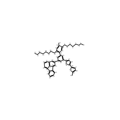 CCCCCCCCc1cc(-c2cc(-c3cc4c5c(cccc5c3)-c3ccccc3-4)cc(-c3ccc(-c4ccc(C)s4)s3)c2)c(CCCCCCCC)cc1C